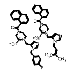 CCCC[C@H]1CN(C(=O)c2cccc3ccccc23)CCN1Cc1cncn1CC=C(C)C.CCCC[C@H]1CN(C(=O)c2cccc3ccccc23)CCN1Cc1cncn1Cc1ccc(F)cc1